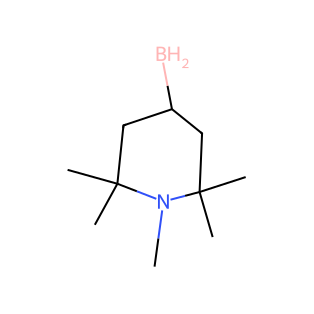 BC1CC(C)(C)N(C)C(C)(C)C1